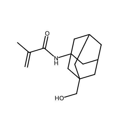 C=C(C)C(=O)NC12CC3CC(CC(CO)(C3)C1)C2